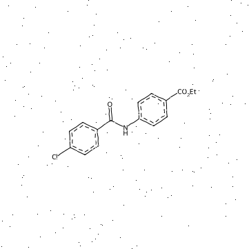 CCOC(=O)c1ccc(NC(=O)c2ccc(Cl)cc2)cc1